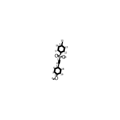 COc1ccc(C#CS(=O)(=O)c2ccc(C)cc2)cc1